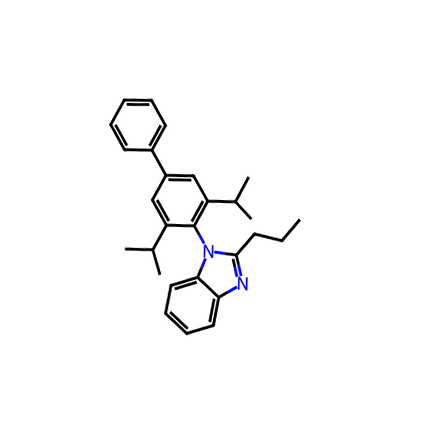 CCCc1nc2ccccc2n1-c1c(C(C)C)cc(-c2ccccc2)cc1C(C)C